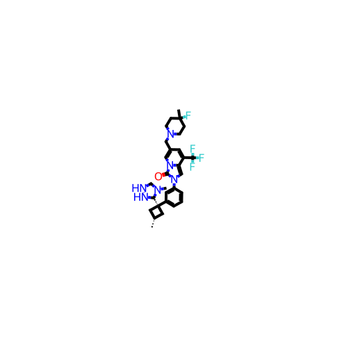 CN1CNNC1[C@]1(c2cccc(-n3cc4c(C(F)(F)F)cc(CN5CCC(C)(F)CC5)cn4c3=O)c2)C[C@H](C)C1